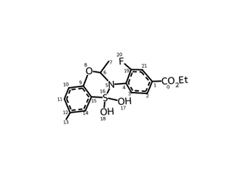 CCOC(=O)c1ccc(N2C(C)Oc3ccc(C)cc3S2(O)O)c(F)c1